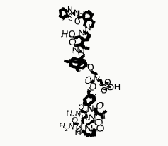 Cc1c(-c2ccc(N3CCc4cccc(C(=O)Nc5nc6ccccc6s5)c4C3)nc2C(=O)O)cnn1CC12CC3(C)CC(C)(C1)CC(OCCN(CCS(=O)(=O)O)C(=O)OCc1ccc(N(C(=O)[C@@H](NC(=O)CN4C(=O)C=CC4=O)C(C)C)[C@@H](CCCNC(N)=O)C(N)=O)cc1)(C3)C2